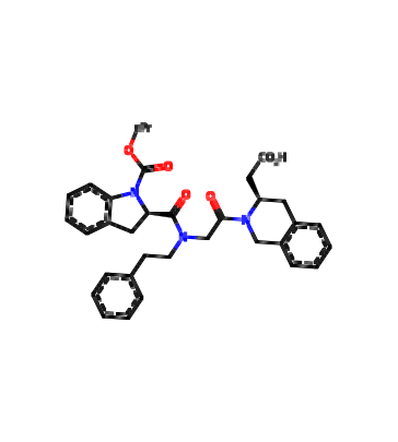 CCCOC(=O)N1c2ccccc2C[C@@H]1C(=O)N(CCc1ccccc1)CC(=O)N1Cc2ccccc2C[C@@H]1CC(=O)O